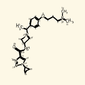 CC(c1ccc(OCCCN(C)C)cc1)N1CC(NC(=O)c2cn(C3CC3)nn2)C1